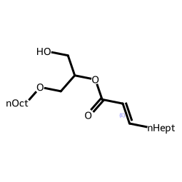 CCCCCCC/C=C/C(=O)OC(CO)COCCCCCCCC